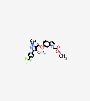 CCOC(=O)Cn1ccc2ccc(OCc3c(C)c(-c4ccc(C(F)(F)F)cc4)nn3C)cc21